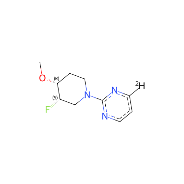 [2H]c1ccnc(N2CC[C@@H](OC)[C@@H](F)C2)n1